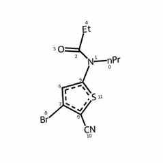 CCCN(C(=O)CC)c1cc(Br)c(C#N)s1